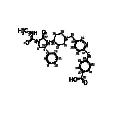 CNC(=O)N1C[C@@H](c2ccccc2)N(C2CCN(Cc3ccc(Sc4ccc(C(=O)O)cc4)nc3)CC2)C1=O